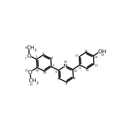 COc1ccc(-c2cccc(-c3ccc(O)cc3)n2)cc1OC